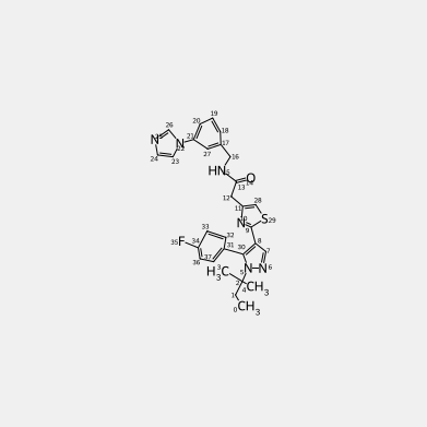 CCC(C)(C)n1ncc(-c2nc(CC(=O)NCc3cccc(-n4ccnc4)c3)cs2)c1-c1ccc(F)cc1